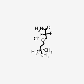 C[N+](C)(C)CCOCC(F)(F)C(N)=O.[Cl-]